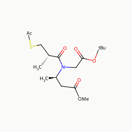 COC(=O)C[C@@H](C)N(CC(=O)OC(C)(C)C)C(=O)[C@H](C)CSC(C)=O